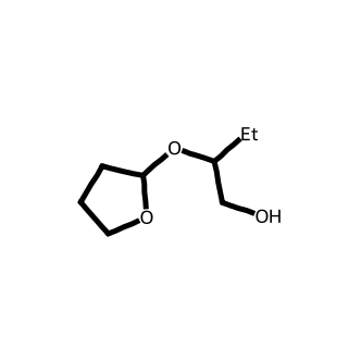 CCC(CO)OC1CCCO1